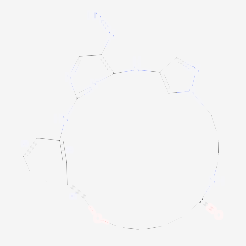 C\C=C/C1=C\C=C\OCCCCC(=O)NCCCn2cc(cn2)Nc2nc(ncc2N=N)N1